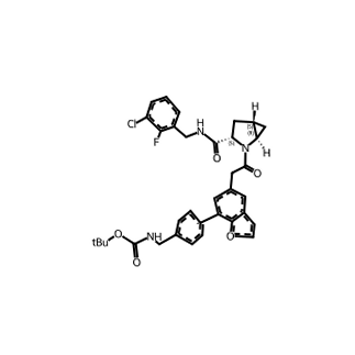 CC(C)(C)OC(=O)NCc1ccc(-c2cc(CC(=O)N3[C@@H]4C[C@H]4C[C@H]3C(=O)NCc3cccc(Cl)c3F)cc3ccoc23)cc1